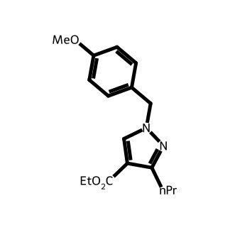 CCCc1nn(Cc2ccc(OC)cc2)cc1C(=O)OCC